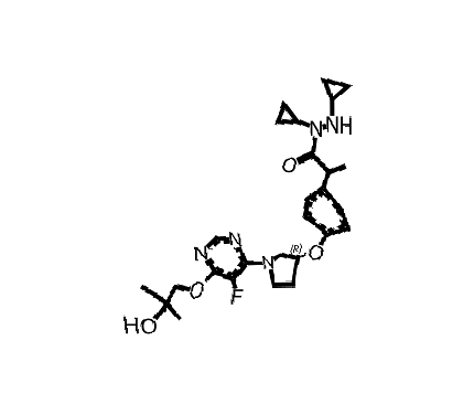 CC(C(=O)N(NC1CC1)C1CC1)c1ccc(O[C@@H]2CCN(c3ncnc(OCC(C)(C)O)c3F)C2)cc1